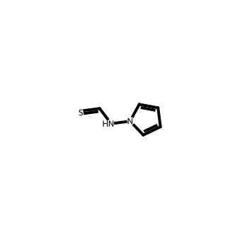 S=CNn1cccc1